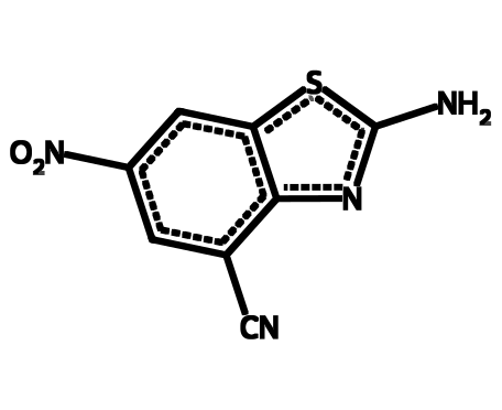 N#Cc1cc([N+](=O)[O-])cc2sc(N)nc12